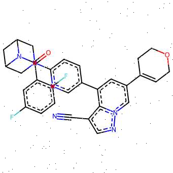 N#Cc1cnn2cc(C3=CCOCC3)cc(-c3ccc(N4CC5CC(C4)N5C(=O)c4cc(F)ccc4F)nc3)c12